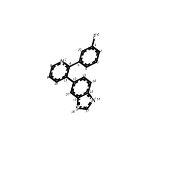 Fc1cccc(-c2ncccc2-c2ccc3ncsc3c2)c1